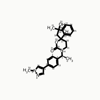 C[C@@H](c1ccc(-c2cnn(C)c2)cc1)N1CCC(CC(C)(C)O)(c2ccccc2)OC1=O